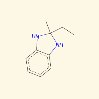 CCC1(C)Nc2ccccc2N1